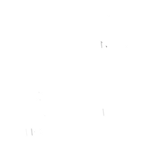 Cc1cccn1-c1ccc(CC(=O)O)c(F)c1